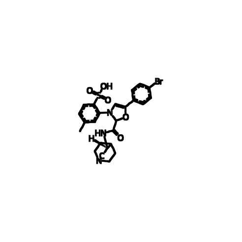 Cc1ccc(S(=O)(=O)O)c(N2C=C(c3ccc(Br)cc3)OC2C(=O)N[C@H]2CN3CCC2CC3)c1